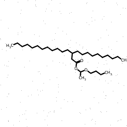 CCCCCCCCCCCCC(CCCCCCCCCC)CC(=O)OC(C)OCCCC